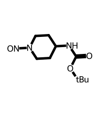 CC(C)(C)OC(=O)NC1CCN(N=O)CC1